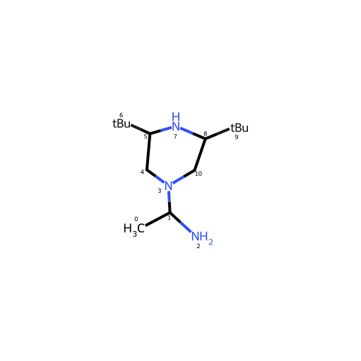 CC(N)N1CC(C(C)(C)C)NC(C(C)(C)C)C1